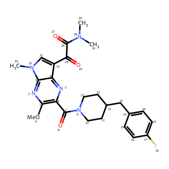 COc1nc2c(nc1C(=O)N1CCC(Cc3ccc(F)cc3)CC1)c(C(=O)C(=O)N(C)C)cn2C